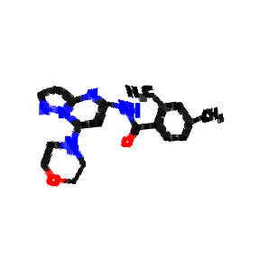 Cc1ccc(C(=O)Nc2cc(N3CCOCC3)n3nccc3n2)c(C)c1